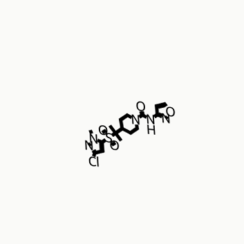 Cn1nc(Cl)cc1S(=O)(=O)C(C)(C)C1CCN(C(=O)Nc2ccon2)CC1